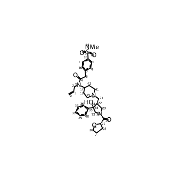 C=CCN(C(=O)Cc1ccc(S(=O)(=O)NC)cc1)C1CCN(C[C@H]2CN(C(=O)[C@H]3CCCO3)C[C@]2(O)c2ccccc2)CC1